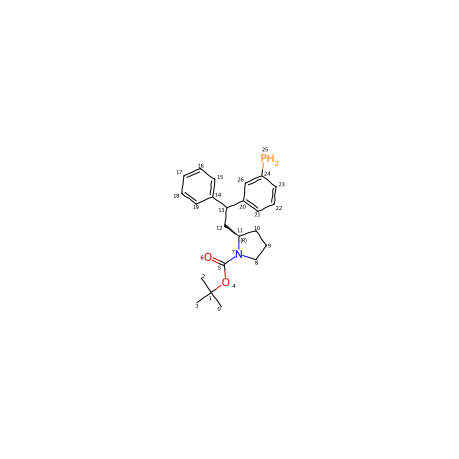 CC(C)(C)OC(=O)N1CCC[C@@H]1CC(c1ccccc1)c1cccc(P)c1